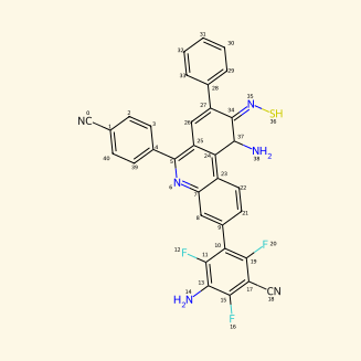 N#Cc1ccc(-c2nc3cc(-c4c(F)c(N)c(F)c(C#N)c4F)ccc3c3c2C=C(c2ccccc2)/C(=N/S)C3N)cc1